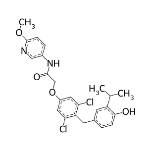 COc1ccc(NC(=O)COc2cc(Cl)c(Cc3ccc(O)c(C(C)C)c3)c(Cl)c2)cn1